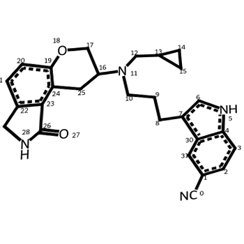 N#Cc1ccc2[nH]cc(CCCN(CC3CC3)C3COc4ccc5c(c4C3)C(=O)NC5)c2c1